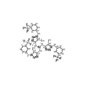 FC(F)(F)c1cccc(Cn2nnc(CN(Cc3nnn(Cc4cccc(C(F)(F)F)c4)c3I)Cc3nnn(Cc4cccc(C(F)(F)F)c4)c3I)c2I)c1